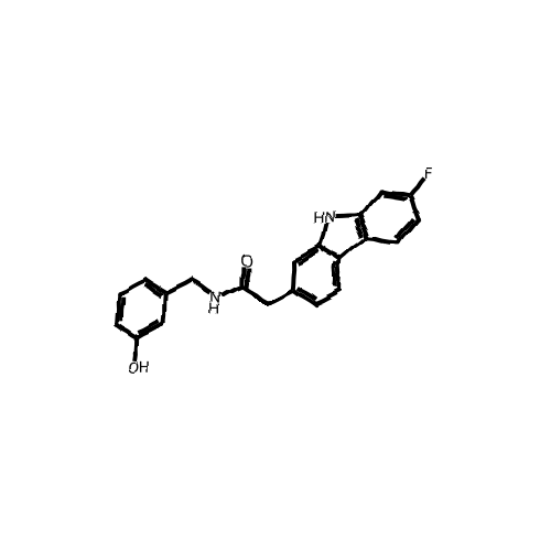 O=C(Cc1ccc2c(c1)[nH]c1cc(F)ccc12)NCc1cccc(O)c1